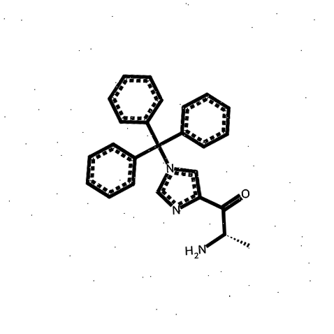 C[C@H](N)C(=O)c1cn(C(c2ccccc2)(c2ccccc2)c2ccccc2)cn1